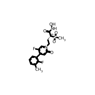 Cc1cccc(-c2cc(=O)n(CC[C@H](C(=O)NO)S(C)(=O)=O)cc2F)c1F